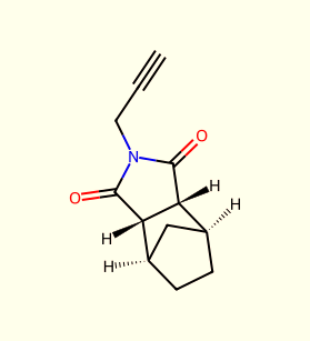 C#CCN1C(=O)[C@@H]2[C@H]3CC[C@H](C3)[C@@H]2C1=O